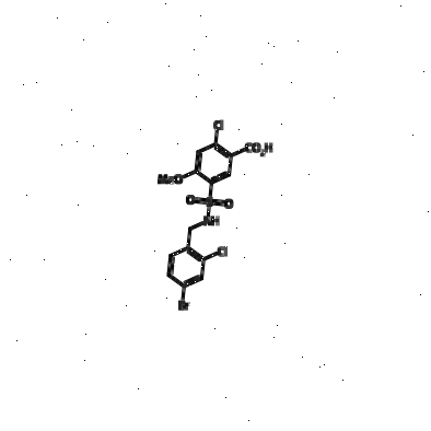 COc1cc(Cl)c(C(=O)O)cc1S(=O)(=O)NCc1ccc(Br)cc1Cl